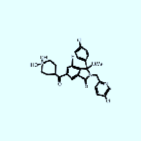 COC1(c2ccc(Cl)cc2)c2c(F)cc(C(=O)C3CCS(O)(O)CC3)cc2C(=O)N1Cc1ccc(Cl)cn1